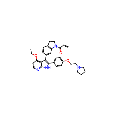 C=CC(=O)N1CCc2ccc(-c3c(-c4ccc(OCCN5CCCC5)cc4)[nH]c4nccc(OCC)c34)cc21